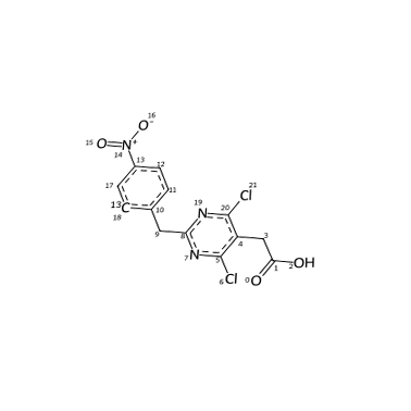 O=C(O)Cc1c(Cl)nc(Cc2ccc([N+](=O)[O-])c[13cH]2)nc1Cl